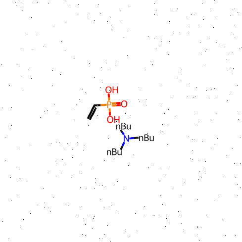 C=CP(=O)(O)O.CCCCN(CCCC)CCCC